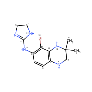 CC1(C)CNc2ccc(NC3=NCCN3)c(Br)c2N1